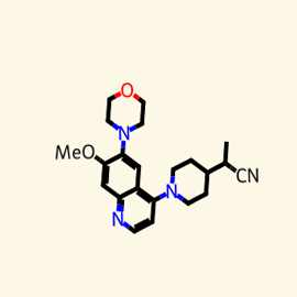 COc1cc2nccc(N3CCC(C(C)C#N)CC3)c2cc1N1CCOCC1